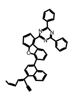 C#C/C(=C\C=C/C)c1ccc(-c2cccc3c2oc2cccc(-c4nc(-c5ccccc5)nc(-c5ccccc5)n4)c23)c2ccccc12